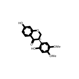 COc1cc(O)c([C@@H]2COc3cc(O)ccc3C2=O)cc1OC